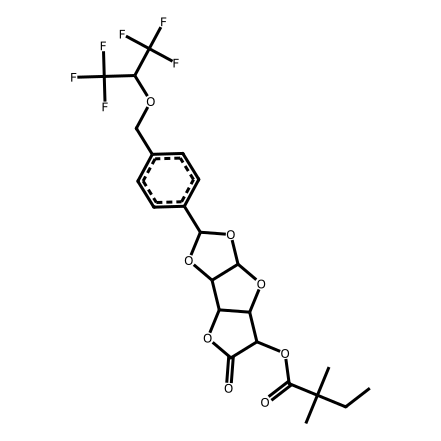 CCC(C)(C)C(=O)OC1C(=O)OC2C3OC(c4ccc(COC(C(F)(F)F)C(F)(F)F)cc4)OC3OC12